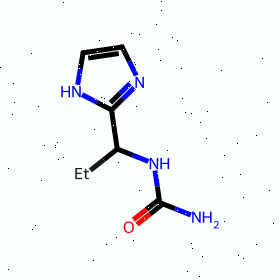 CCC(NC(N)=O)c1ncc[nH]1